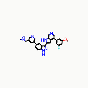 COc1cc(F)cc(-c2cncc3[nH]c(-c4n[nH]c5ccc(-c6cncc(CN(C)C)c6)cc45)cc23)c1